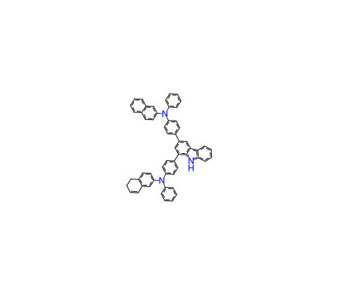 C1=Cc2cc(N(c3ccccc3)c3ccc(-c4cc(-c5ccc(N(c6ccccc6)c6ccc7ccccc7c6)cc5)cc5c4[nH]c4ccccc45)cc3)ccc2CC1